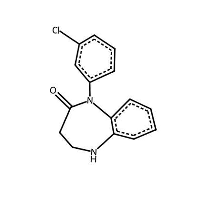 O=C1CCNc2ccccc2N1c1cccc(Cl)c1